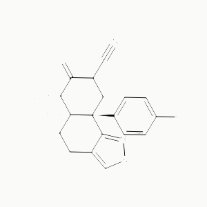 C[C@@H]1C(=O)C(C#N)C[C@]2(c3ccc(F)cc3)c3n[nH]cc3CC[C@@H]12